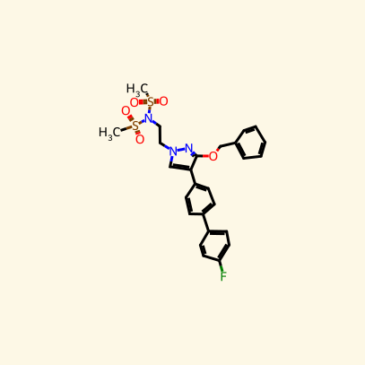 CS(=O)(=O)N(CCn1cc(-c2ccc(-c3ccc(F)cc3)cc2)c(OCc2ccccc2)n1)S(C)(=O)=O